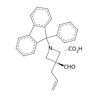 C=CC[C@]1(C=O)CN(C2(c3ccccc3)c3ccccc3-c3ccccc32)[C@@H]1C(=O)O